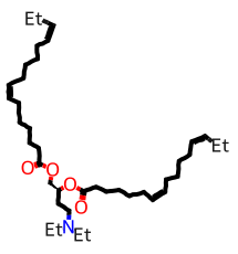 CC/C=C\CCCC/C=C\CCCCCC(=O)OC[C@H](CCN(CC)CC)OC(=O)CCCCC/C=C\CCCC/C=C\CC